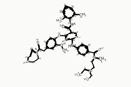 CCN(CC)CCN(C)C(=O)c1ccc(Nc2ncc(C(=O)Nc3c(C)cccc3C)c(Oc3ccc(CC(=O)N4CCOCC4)cc3OC)n2)cc1